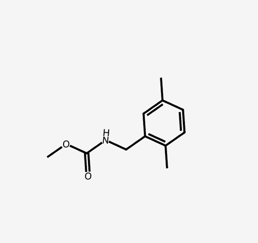 COC(=O)NCc1cc(C)ccc1C